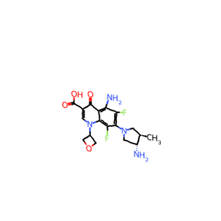 C[C@@H]1CN(c2c(F)c(N)c3c(=O)c(C(=O)O)cn(C4COC4)c3c2F)C[C@H]1N